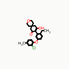 CCc1ccc(Oc2ccc(C)cc2Cl)cc1C1=C(O)CC2(CCOCC2)CC1=O